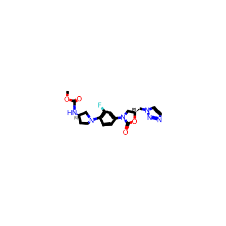 COC(=O)N[C@H]1CCN(c2ccc(N3C[C@H](Cn4ccnn4)OC3=O)cc2F)C1